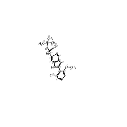 COc1cccc(Cl)c1-c1cc2ccc(NC(=O)OC(C)(C)C)cc2[nH]1